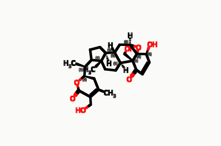 CC1=C(CO)C(=O)O[C@@H]([C@@H](C)C2CC[C@H]3[C@@H]4C[C@H]5O[C@]56[C@@H](O)C=CC(=O)[C@]6(CO)[C@H]4CC[C@]23C)C1